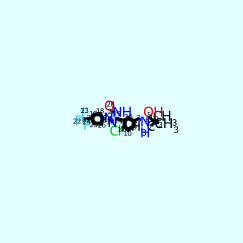 CC(C)(C)C(O)NCc1ccc(Cl)c(-c2nn(-c3ccc(C(F)(F)F)cc3)c(=O)[nH]2)c1